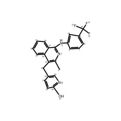 Cc1nc(Nc2cccc(C(F)(F)F)c2)c2ccccc2c1Cc1ccc(O)nc1